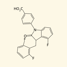 O=C(O)c1ccc(N2C(=O)C(Cc3c(F)cccc3F)c3c(F)cccc32)cc1